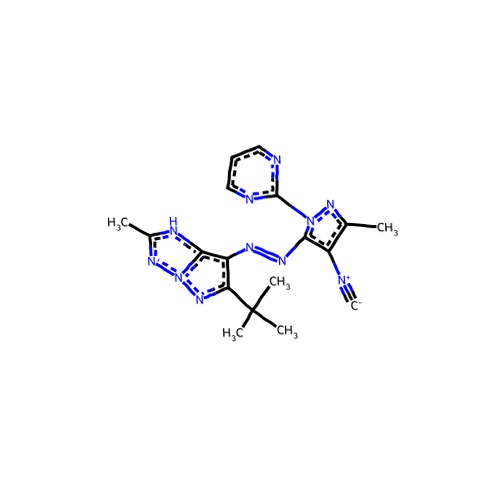 [C-]#[N+]c1c(C)nn(-c2ncccn2)c1/N=N/c1c(C(C)(C)C)nn2nc(C)[nH]c12